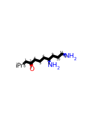 CC(C)CC(=O)CCCC(N)CCCN